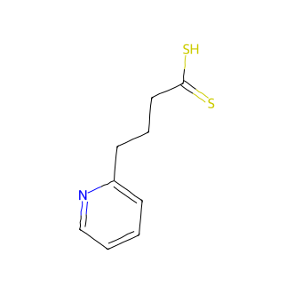 S=C(S)CCCc1ccccn1